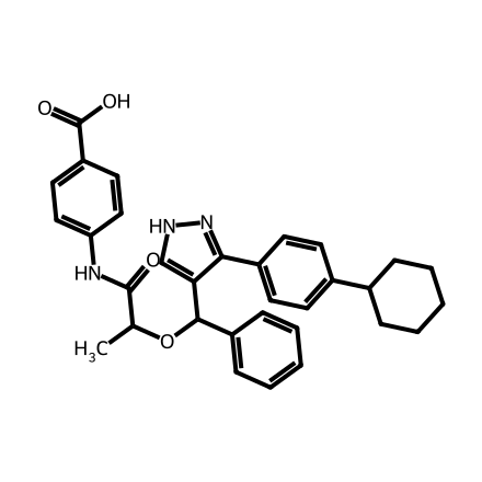 CC(OC(c1ccccc1)c1c[nH]nc1-c1ccc(C2CCCCC2)cc1)C(=O)Nc1ccc(C(=O)O)cc1